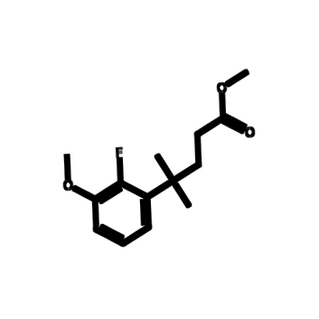 COC(=O)CCC(C)(C)c1cccc(OC)c1F